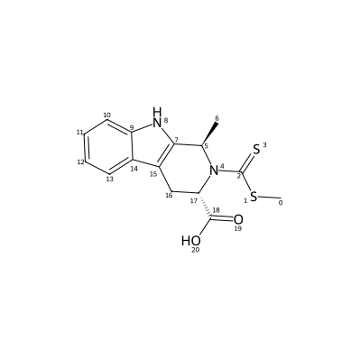 CSC(=S)N1[C@H](C)c2[nH]c3ccccc3c2C[C@H]1C(=O)O